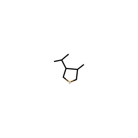 CC(C)C1CSCC1C